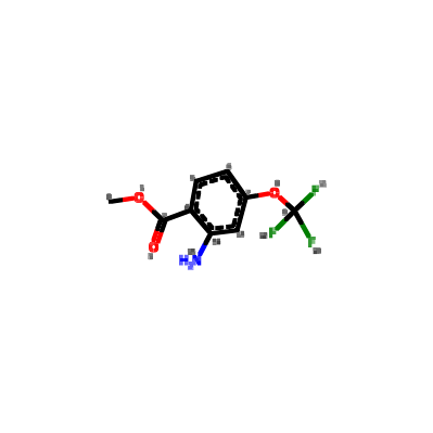 COC(=O)c1ccc(OC(F)(F)F)cc1N